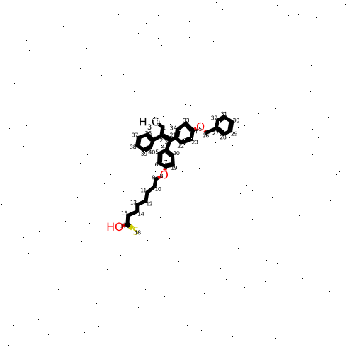 CC/C(=C(/c1ccc(OCCCCCCCC(O)=S)cc1)c1ccc(OCc2ccccc2)cc1)c1ccccc1